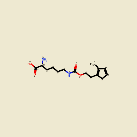 CC1=C(CCOC(=O)NCCCC[C@H](N)C(=O)O)CC=C1